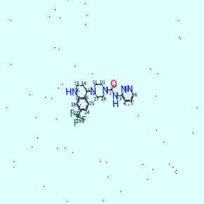 O=C(Nc1cccnn1)N1CCN(C2CCNc3cc(C(F)(F)F)ccc32)CC1